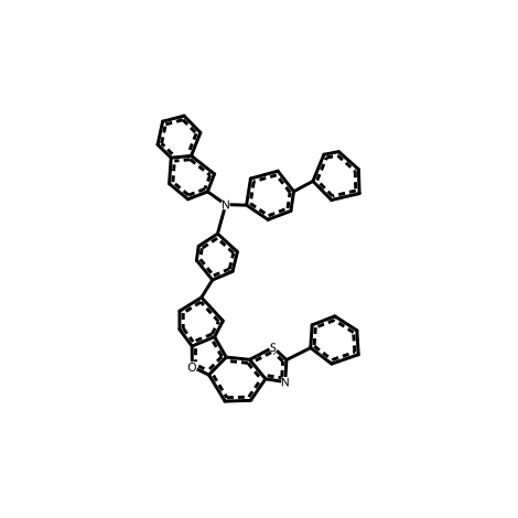 c1ccc(-c2ccc(N(c3ccc(-c4ccc5oc6ccc7nc(-c8ccccc8)sc7c6c5c4)cc3)c3ccc4ccccc4c3)cc2)cc1